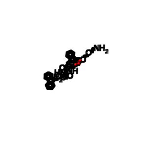 NCCOCCOCCOCC(=O)NC(NC(=O)OCC1c2ccccc2-c2ccccc21)(C(N)=O)C(=O)OCC1c2ccccc2-c2ccccc21